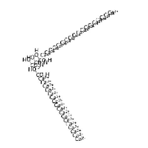 O=C(O)O.O=C(O)O.O=C(O)O.O=C(O)O.[Ca+2].[Ca+2].[Ca+2].[Ca+2].[Ca+2].[Ca+2].[Ca+2].[Ca+2].[Ca+2].[Ca+2].[Ca+2].[Ca+2].[Ca+2].[Ca+2].[Ca+2].[Ca+2].[Ca+2].[Ca+2].[Ca+2].[Ca+2].[Ca+2].[Ca+2].[Ca+2].[Ca+2].[Ca+2].[Ca+2].[Ca+2].[Ca+2].[Ca+2].[Ca+2].[Ca+2].[Ca+2].[Ca+2].[Ca+2].[Ca+2]